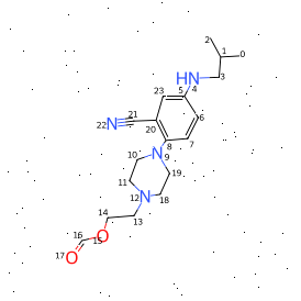 CC(C)CNc1ccc(N2CCN(CCOC=O)CC2)c(C#N)c1